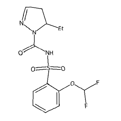 CCC1CC=NN1C(=O)NS(=O)(=O)c1ccccc1OC(F)F